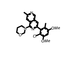 COc1cc(OC)c(Cl)c(-c2cc3cnc(C)cc3c(N3CCCOC3)n2)c1C